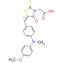 COc1ccc(N(C)c2ccc(/C=C3/SC(=S)N(CC(=O)O)C3=O)cc2)cc1